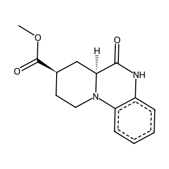 COC(=O)[C@@H]1CCN2c3ccccc3NC(=O)[C@@H]2C1